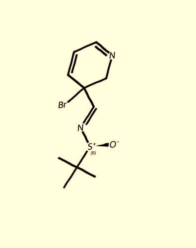 CC(C)(C)[S@+]([O-])N=CC1(Br)C=CC=NC1